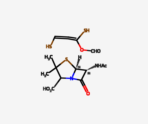 CC(=O)N[C@@H]1C(=O)N2C(C(=O)O)C(C)(C)S[C@@H]12.O=COC(S)=C=CS